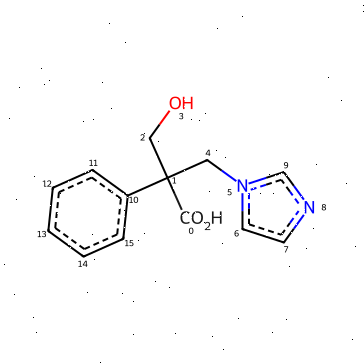 O=C(O)C(CO)(Cn1ccnc1)c1ccccc1